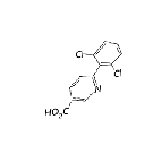 O=C(O)c1ccc(-c2c(Cl)cccc2Cl)nc1